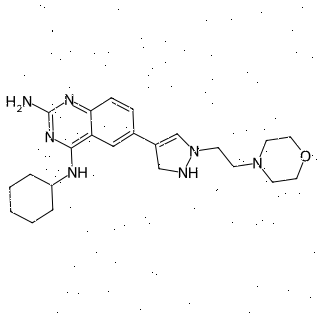 Nc1nc(NC2CCCCC2)c2cc(C3=CN(CCN4CCOCC4)NC3)ccc2n1